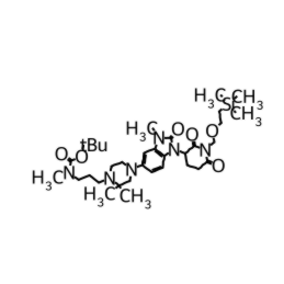 CN(CCCN1CCN(c2ccc3c(c2)n(C)c(=O)n3C2CCC(=O)N(COCC[Si](C)(C)C)C2=O)CC1(C)C)C(=O)OC(C)(C)C